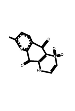 Cc1ccc2c(n1)C(=O)C1=C(C2=O)S(=O)(=O)C=CN1